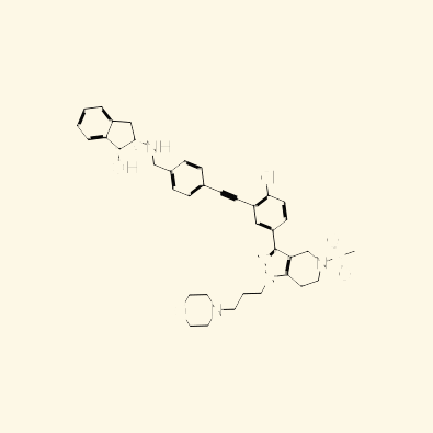 CS(=O)(=O)N1CCc2c(c(-c3ccc(Cl)c(C#Cc4ccc(CN[C@@H]5Cc6ccccc6[C@@H]5O)cc4)c3)nn2CCCN2CCOCC2)C1